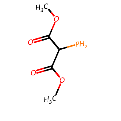 COC(=O)C(P)C(=O)OC